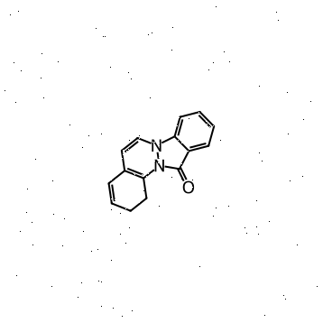 O=c1c2ccccc2n2ccc3c(n12)CCC=C3